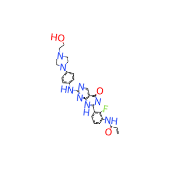 C=CC(=O)Nc1cccc(-c2nc(=O)c3cnc(Nc4ccc(N5CCN(CCO)CC5)cc4)nc3[nH]2)c1F